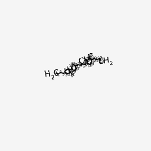 C=CCCc1ccc(-c2ccc(CCCCc3ccc(CCC=C)c(F)c3Cl)cc2)c(F)c1